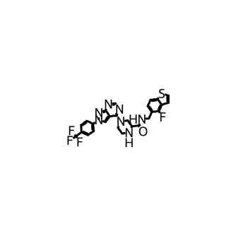 O=C(NCc1ccc2sccc2c1F)C1CN(c2ncnc3nn(-c4ccc(C(F)(F)F)cc4)cc23)CCN1